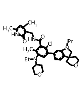 CCN(c1cc(-c2ccc3c(c2)N(C(C)C)CC32CCOCC2)c(Cl)c(C(=O)NCc2c(C)cc(C)[nH]c2=O)c1C)C1CCOCC1